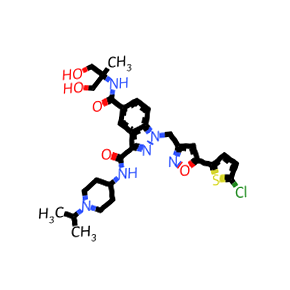 CC(C)N1CCC(NC(=O)c2nn(Cc3cc(-c4ccc(Cl)s4)on3)c3ccc(C(=O)NC(C)(CO)CO)cc23)CC1